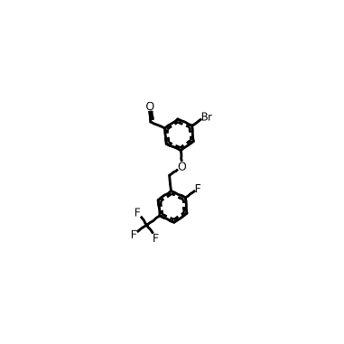 O=Cc1cc(Br)cc(OCc2cc(C(F)(F)F)ccc2F)c1